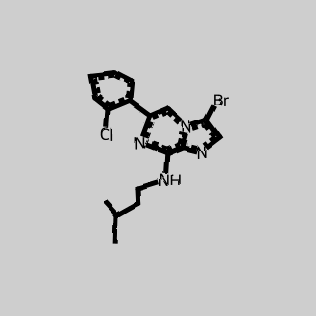 CC(C)CCNc1nc(-c2ccccc2Cl)cn2c(Br)cnc12